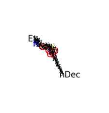 CCCCCCCCCCCCCCCCCCCCCCOC(=O)N1C(=O)SC(Cc2ccc(OCCc3ccc(CC)cn3)cc2)C1=O